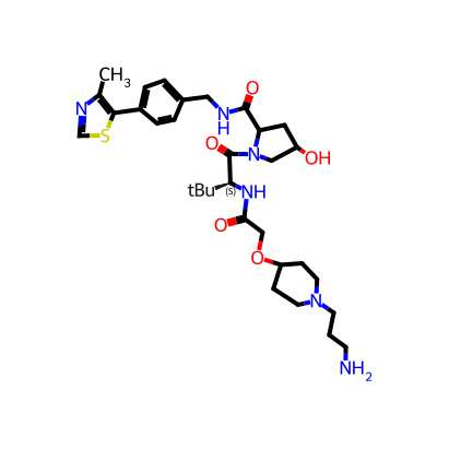 Cc1ncsc1-c1ccc(CNC(=O)C2CC(O)CN2C(=O)[C@@H](NC(=O)COC2CCN(CCCN)CC2)C(C)(C)C)cc1